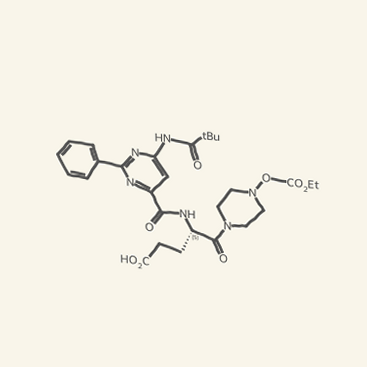 CCOC(=O)ON1CCN(C(=O)[C@H](CCC(=O)O)NC(=O)c2cc(NC(=O)C(C)(C)C)nc(-c3ccccc3)n2)CC1